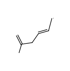 [CH2]/C=C/CC(=C)C